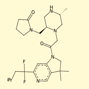 CC(C)CC(F)(F)c1cc2c(cn1)C(C)(C)CN2C(=O)CN1C[C@@H](C)NC[C@@H]1CN1CCCC1=O